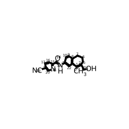 CC1=C(CO)CCCc2ccc(NC(=O)c3ccc(C#N)cn3)cc21